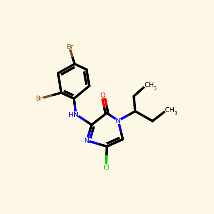 CCC(CC)n1cc(Cl)nc(Nc2ccc(Br)cc2Br)c1=O